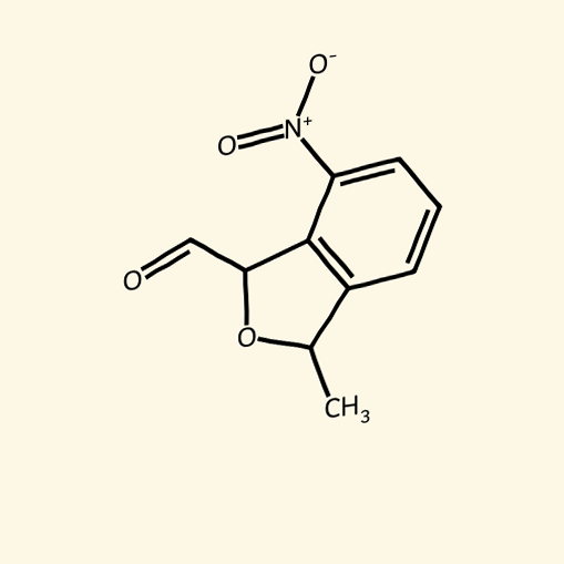 CC1OC(C=O)c2c1cccc2[N+](=O)[O-]